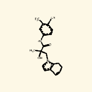 CC(O)(Cn1ccc2c1CCC=C2)C(=O)Nc1ccc(C#N)c(C(F)(F)F)c1